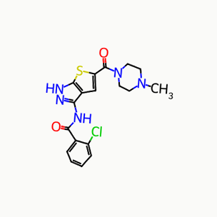 CN1CCN(C(=O)c2cc3c(NC(=O)c4ccccc4Cl)n[nH]c3s2)CC1